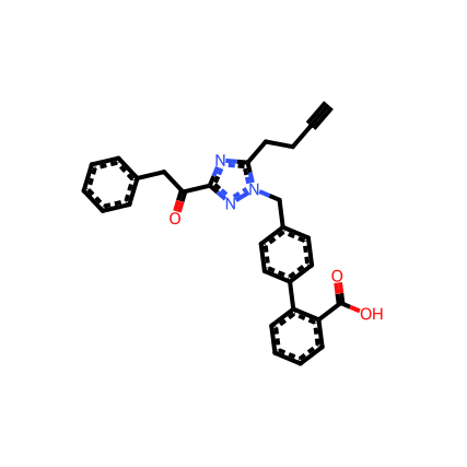 C#CCCc1nc(C(=O)Cc2ccccc2)nn1Cc1ccc(-c2ccccc2C(=O)O)cc1